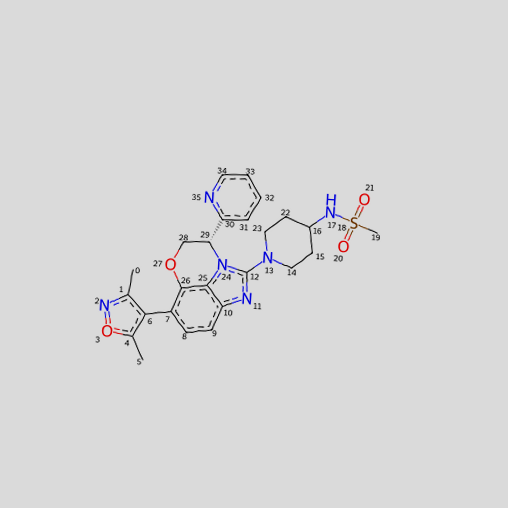 Cc1noc(C)c1-c1ccc2nc(N3CCC(NS(C)(=O)=O)CC3)n3c2c1OC[C@@H]3c1ccccn1